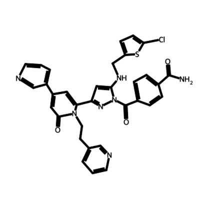 NC(=O)c1ccc(C(=O)n2nc(-c3cc(-c4cccnc4)cc(=O)n3CCc3cccnc3)cc2NCc2ccc(Cl)s2)cc1